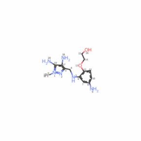 CC(C)n1nc(CNc2cc(N)ccc2OCCO)c(N)c1N